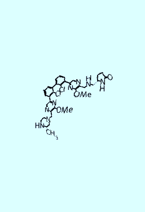 COc1nc(-c2cccc(-c3cccc(-c4cnc(CN5CCN[C@@H](C)C5)c(OC)n4)c3Cl)c2Cl)cnc1CNC[C@@H]1CCC(=O)N1